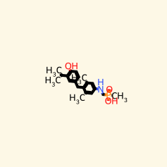 Cc1cc(NCP(C)(=O)O)cc(C)c1Cc1ccc(O)c(C(C)C)c1